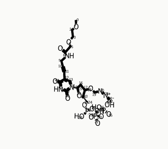 COCCOCC(=O)NCC#Cc1cn([C@H]2CC(OCN=[N+]=[N-])[C@@H](COP(=O)(O)OP(=O)(O)OP(=O)(O)O)O2)c(=O)[nH]c1=O